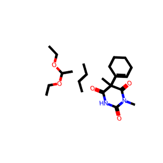 CCCC.CCOC(C)OCC.CN1C(=O)NC(=O)C(C)(C2=CCCCC2)C1=O